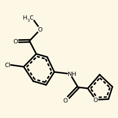 COC(=O)c1cc(NC(=O)c2ccco2)ccc1Cl